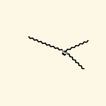 CCCCCCCCCCCCCCCCC[n+]1ccn(CCCCCCCCCCC)c1CCCCCCCCCCC